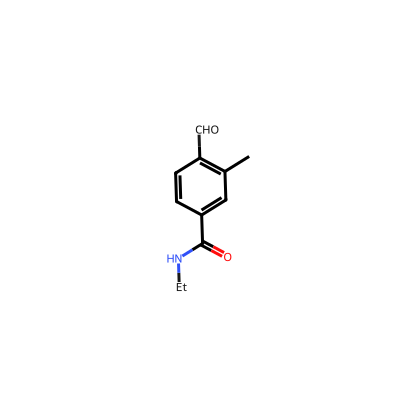 CCNC(=O)c1ccc(C=O)c(C)c1